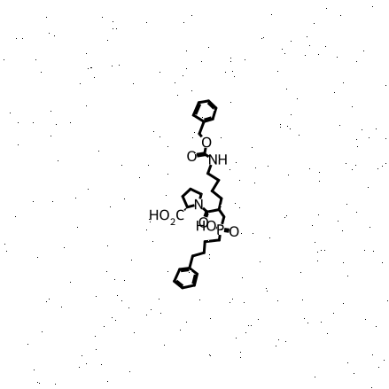 O=C(NCCCCC(CP(=O)(O)CCCCc1ccccc1)C(=O)N1CCC[C@H]1C(=O)O)OCc1ccccc1